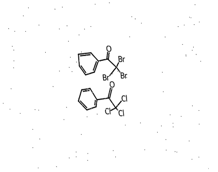 O=C(c1ccccc1)C(Br)(Br)Br.O=C(c1ccccc1)C(Cl)(Cl)Cl